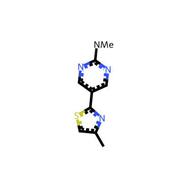 CNc1ncc(-c2nc(C)cs2)cn1